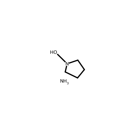 N.ON1CCCC1